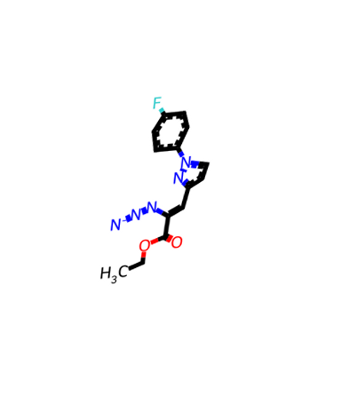 CCOC(=O)C(=Cc1ccn(-c2ccc(F)cc2)n1)N=[N+]=[N-]